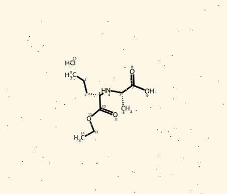 CCC[C@H](N[C@@H](C)C(=O)O)C(=O)OCC.Cl